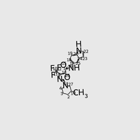 CC1CCCN(c2nc(C(F)(F)F)c(C(=O)Nc3ccc4[nH]ccc4c3)o2)C1